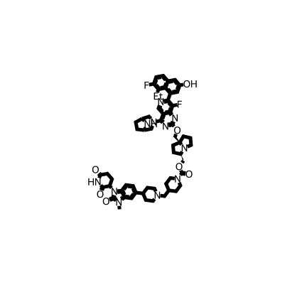 CCc1c(F)ccc2cc(O)cc(-c3ncc4c(N5CC6CCC(C5)N6)nc(OC[C@@]56CCCN5[C@H](COC(=O)N5CCC(CN7CCC(c8ccc9c(c8)n(C)c(=O)n9C8CCC(=O)NC8=O)CC7)CC5)CC6)nc4c3F)c12